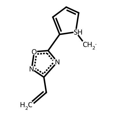 [CH2][SH]1C=CC=C1c1nc(C=C)no1